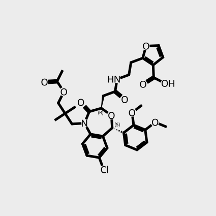 COc1cccc([C@H]2O[C@H](CC(=O)NCCc3occc3C(=O)O)C(=O)N(CC(C)(C)COC(C)=O)c3ccc(Cl)cc32)c1OC